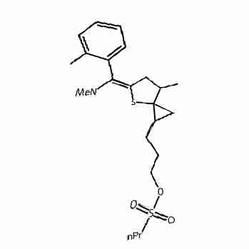 CCCS(=O)(=O)OCCCC1CC12S/C(=C(\NC)c1ccccc1C)CC2C